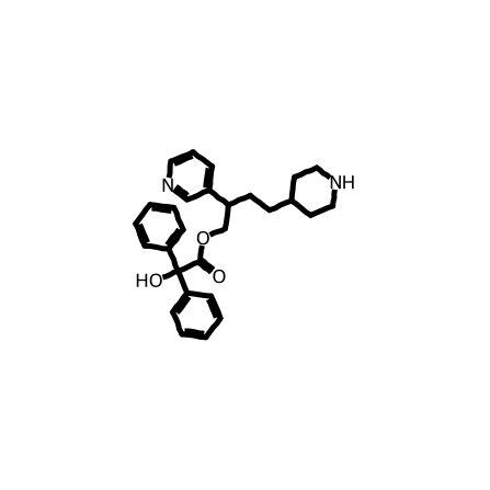 O=C(OCC(CCC1CCNCC1)c1cccnc1)C(O)(c1ccccc1)c1ccccc1